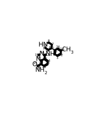 Cc1cccc([C@@H]2CCNC[C@H]2Nc2ncnc3c(C(N)=O)cccc23)c1